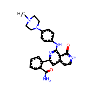 CN1CCN(c2ccc(Nc3nc(-c4ccccc4C(N)=O)cc4cc[nH]c(=O)c34)cc2)CC1